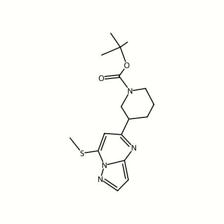 CSc1cc(C2CCCN(C(=O)OC(C)(C)C)C2)nc2ccnn12